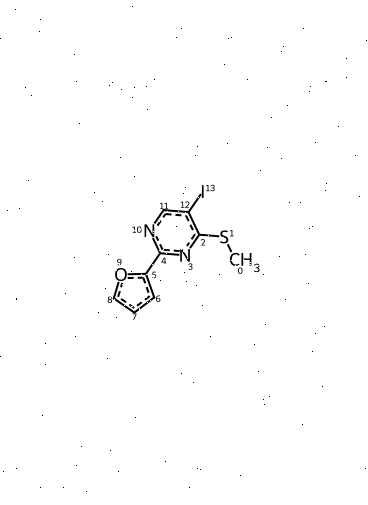 CSc1nc(-c2ccco2)ncc1I